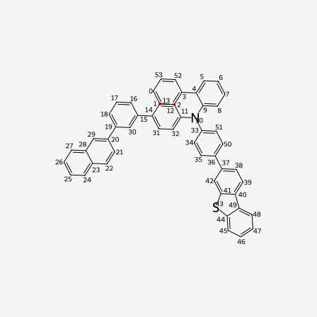 c1ccc(-c2ccccc2N(c2ccc(-c3cccc(-c4ccc5ccccc5c4)c3)cc2)c2ccc(-c3ccc4c(c3)sc3ccccc34)cc2)cc1